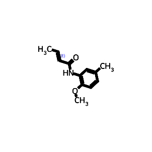 C/C=C/C(=O)Nc1cc(C)ccc1OC